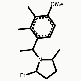 CCC1CCC(C)N1C(C)c1ccc(OC)c(C)c1C